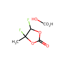 CC1(F)OC(=O)OC1F.O=C(O)O